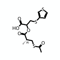 CC(=O)SC[C@H](C)C(=O)OC(CSc1ccsc1)C(=O)O